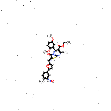 CCOC(=O)C1=C(C)N=c2s/c(=C\c3ccc(-c4ccc(C)c(N=O)c4)o3)c(=O)n2C1c1cc(OC)ccc1OC